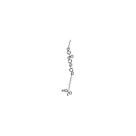 C=CC(=O)C(O)CCCCCCCCCCOc1ccc(COc2ccc(OC(=O)c3ccc(OCCCCCC)cc3)cc2)cc1